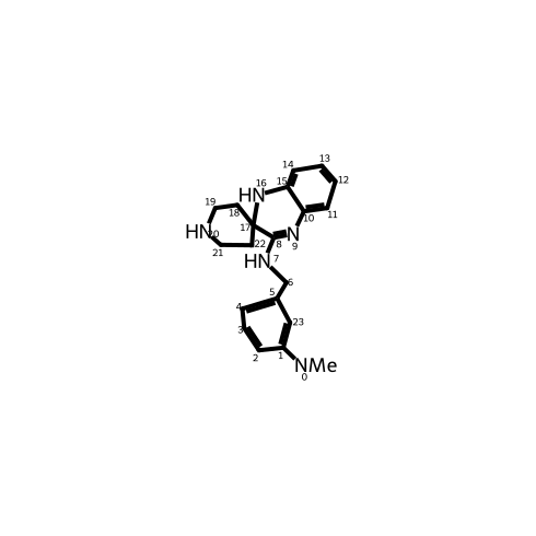 CNc1cccc(CNC2=Nc3ccccc3NC23CCNCC3)c1